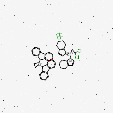 Cl[C]1(Cl)[CH2][Zr+2]1([C@H]1C=CC2=C1CCCC2)[C@H]1C=CC2=C1CCCC2.[Cl-].[Cl-].c1ccc2c(c1)-c1ccccc1[CH]2[Zr]1([CH]2c3ccccc3-c3ccccc32)[CH2][CH2]1